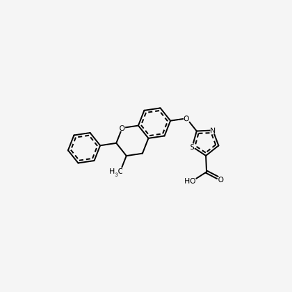 CC1Cc2cc(Oc3ncc(C(=O)O)s3)ccc2OC1c1ccccc1